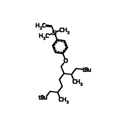 C=C[Si](C)(C)c1ccc(OCC(CCC(C)CC(C)(C)C)C(C)CC(C)(C)C)cc1